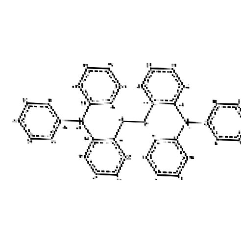 c1ccc(N(c2ccccc2)c2ccccc2CCc2ccccc2N(c2ccccc2)c2ccccc2)cc1